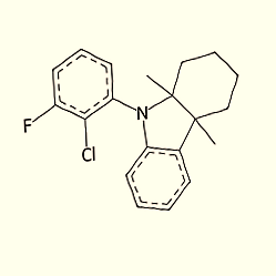 CC12CCCCC1(C)N(c1cccc(F)c1Cl)c1ccccc12